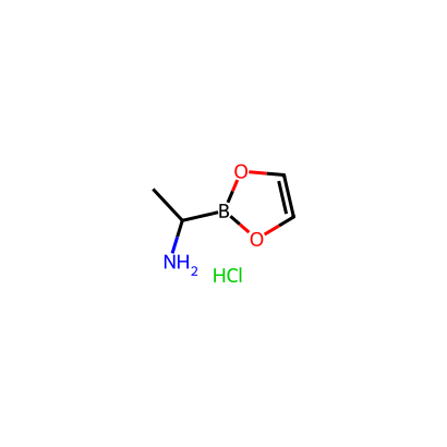 CC(N)B1OC=CO1.Cl